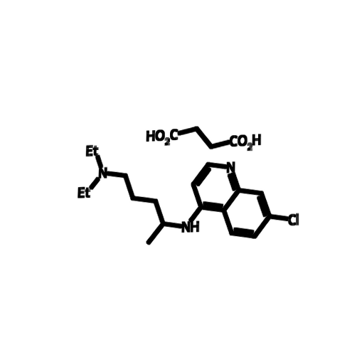 CCN(CC)CCCC(C)Nc1ccnc2cc(Cl)ccc12.O=C(O)CCC(=O)O